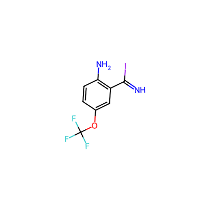 N=C(I)c1cc(OC(F)(F)F)ccc1N